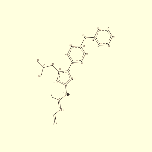 C=C/N=C(\C)Nc1nc(-c2ccc(Sc3ccccc3)cc2)c(CC(C)C)s1